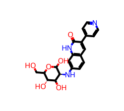 O=c1[nH]c2cc(N[C@@H]3C(O)OC(CO)[C@@H](O)C3O)ccc2cc1-c1ccncc1